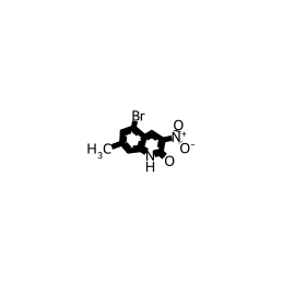 Cc1cc(Br)c2cc([N+](=O)[O-])c(=O)[nH]c2c1